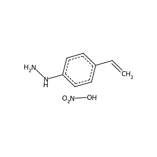 C=Cc1ccc(NN)cc1.O=[N+]([O-])O